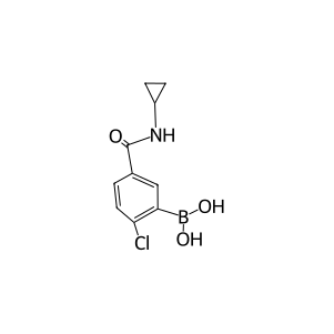 O=C(NC1CC1)c1ccc(Cl)c(B(O)O)c1